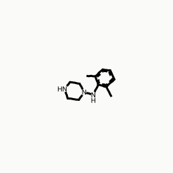 Cc1cccc(C)c1NN1CCNCC1